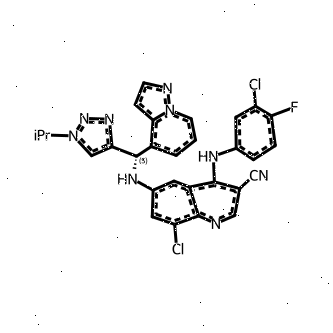 CC(C)n1cc([C@@H](Nc2cc(Cl)c3ncc(C#N)c(Nc4ccc(F)c(Cl)c4)c3c2)c2cccn3nccc23)nn1